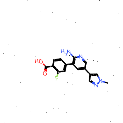 Cn1cc(-c2cnc(N)c(-c3ccc(C(=O)O)c(F)c3)c2)cn1